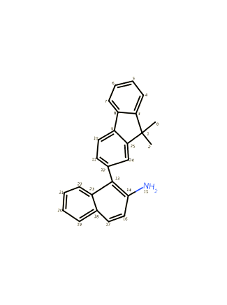 CC1(C)c2ccccc2-c2ccc(-c3c(N)ccc4ccccc34)cc21